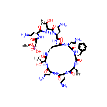 CCCCOP(=O)(O)CC(=O)N[C@@H](CCN)C(=O)N[C@H](C(=O)N[C@@H](CCN)C(=O)N[C@H]1CCNC(=O)[C@H]([C@H](C)O)NC(=O)[C@H](CCN)NC(=O)[C@H](CCN)NC(=O)[C@H](CC(C)C)NC(=O)[C@@H](Cc2ccccc2)NC(=O)[C@H](CCN)NC1=O)C(C)O